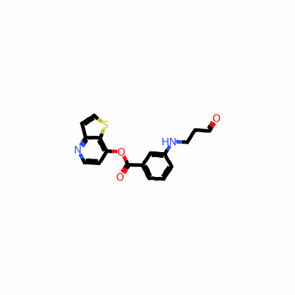 O=CCCNc1cccc(C(=O)Oc2ccnc3ccsc23)c1